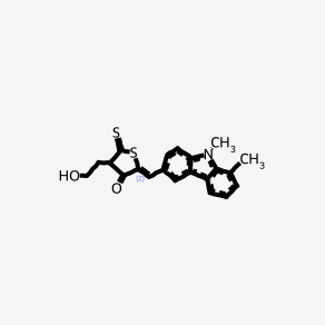 Cc1cccc2c3cc(/C=C4\SC(=S)C(CCO)C4=O)ccc3n(C)c12